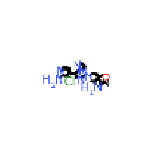 C[C@@H]1OCC2(CCN(c3ncc(-c4ccnc(N)c4Cl)c4nccn34)CC2)[C@@H]1N